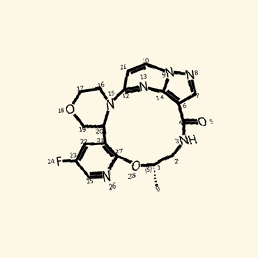 C[C@H]1CNC(=O)c2cnn3ccc(nc23)N2CCOCC2c2cc(F)cnc2O1